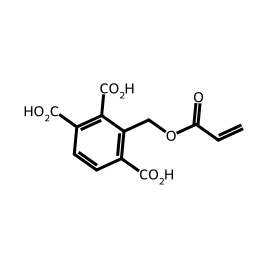 C=CC(=O)OCc1c(C(=O)O)ccc(C(=O)O)c1C(=O)O